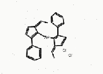 CC=C1C=CC(c2ccccc2)=[C]1[Zr+2][C]1=C(c2ccccc2)C=CC1=CC.[Cl-].[Cl-]